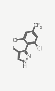 FC(F)(F)c1cc(Cl)c(-c2n[nH]cc2I)c(Cl)c1